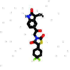 CC1C(=O)Nc2ccc(C(=O)CN3C(=O)SC(=C4CCC(F)(F)CC4)C3=O)cc21